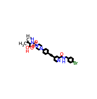 CC(C)[C@@H](NS(=O)(=O)N1CCN(c2ccc(C#Cc3ccnc(C(=O)NCc4ccc(Br)cc4)c3)cc2)CC1)C(=O)O